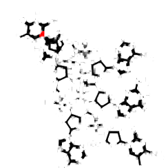 CCCC[C@H]1OC(n2cc(C)c(N)nc2=O)C[C@H]1O[PH](O)(S)OC[C@H]1OC(n2cnc3c(N)ncnc32)C[C@H]1O[PH](O)(S)OC[C@H]1O[C@@H](n2cc(C)c(=O)[nH]c2=O)C[C@H]1O[PH](O)(S)OC[C@H]1O[C@@H](n2cnc3c(=O)[nH]c(N)nc32)C[C@H]1O[PH](O)(S)OC[C@H]1OC(n2cnc3c(N)ncnc32)C[C@H]1O[PH](O)(S)OC[C@H]1OC(n2cc(C)c(=O)[nH]c2=O)C[C@H]1O[PH](O)(S)OC